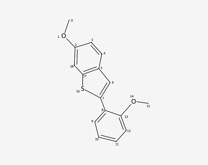 COc1ccc2cc(-c3ccccc3OC)sc2c1